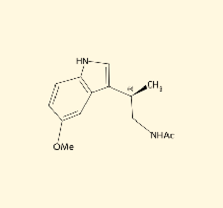 COc1ccc2[nH]cc([C@@H](C)CNC(C)=O)c2c1